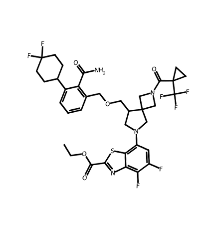 CCOC(=O)c1nc2c(F)c(F)cc(N3CC(COCc4cccc(C5CCC(F)(F)CC5)c4C(N)=O)C4(CN(C(=O)C5(C(F)(F)F)CC5)C4)C3)c2s1